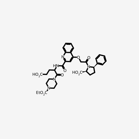 CCOC(=O)N1CCN(C(=O)C(CCC(=O)O)NC(=O)c2cc(OCC(=O)N3[C@@H](c4ccccc4)CC[C@H]3C(=O)O)c3ccccc3n2)CC1